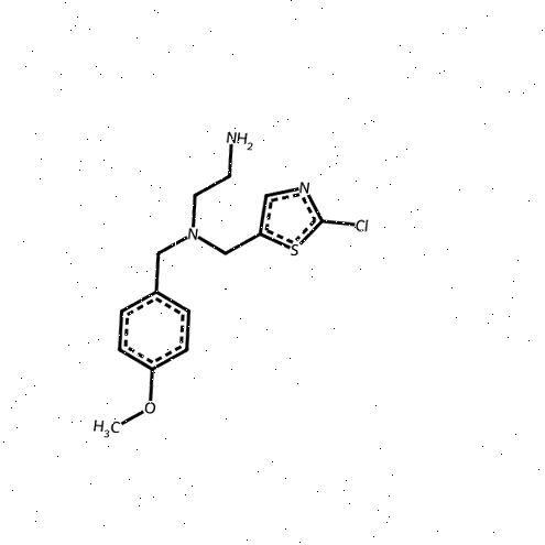 COc1ccc(CN(CCN)Cc2cnc(Cl)s2)cc1